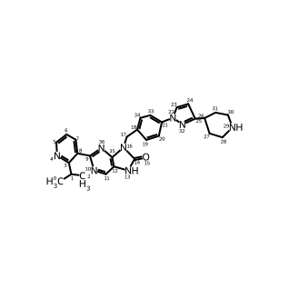 CC(C)c1ncccc1-c1ncc2[nH]c(=O)n(Cc3ccc(-n4ccc(C5CCNCC5)n4)cc3)c2n1